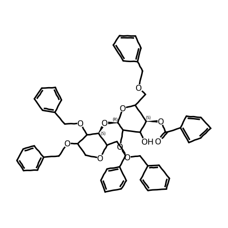 O=C(O[C@@H]1C(COCc2ccccc2)O[C@H](O[C@H]2C(COCc3ccccc3)OCC(OCc3ccccc3)C2OCc2ccccc2)C(OCc2ccccc2)C1O)c1ccccc1